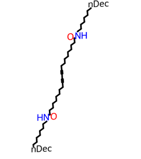 CCCCCCCCCCCCCCCCCCNC(=O)CCCCCCCCC#CC#CCCCCCCCCC(=O)NCCCCCCCCCCCCCCCCCC